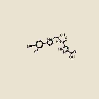 C[C@@H](Cn1ccc(-c2ccc(C#N)c(Cl)c2)n1)NC(=O)c1cc(C(=O)O)n[nH]1